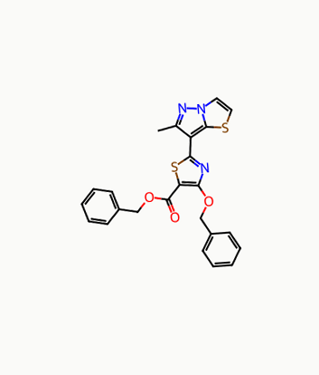 Cc1nn2ccsc2c1-c1nc(OCc2ccccc2)c(C(=O)OCc2ccccc2)s1